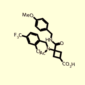 COc1ccc(CNC(=O)C2(N(Cc3ccc(C(F)(F)F)cc3Cl)C(C)=O)CC(C(=O)O)C2)cc1